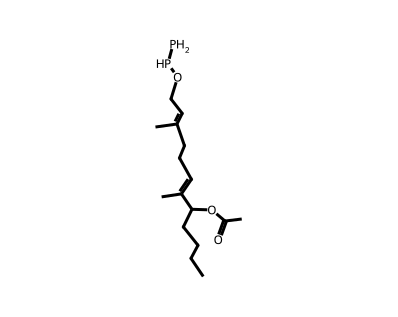 CCCCC(OC(C)=O)/C(C)=C/CC/C(C)=C/COPP